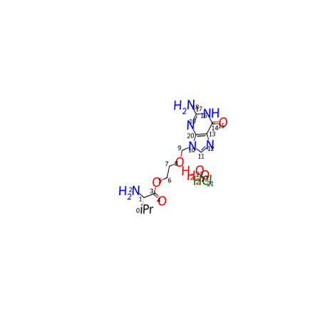 CC(C)[C@H](N)C(=O)OCCOCn1cnc2c(=O)[nH]c(N)nc21.Cl.O.O